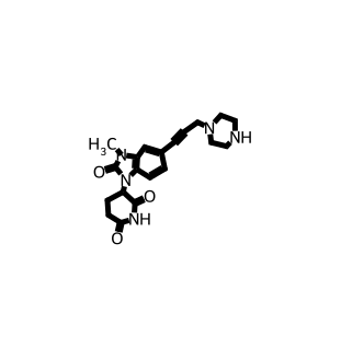 Cn1c(=O)n(C2CCC(=O)NC2=O)c2ccc(C#CCN3CCNCC3)cc21